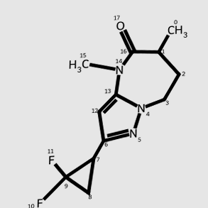 CC1CCn2nc(C3CC3(F)F)cc2N(C)C1=O